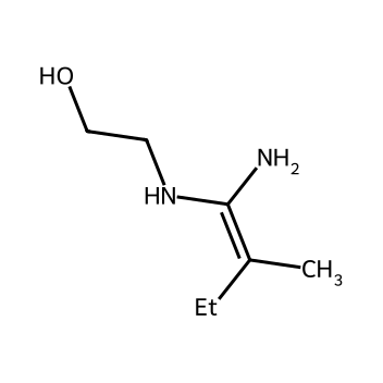 CCC(C)=C(N)NCCO